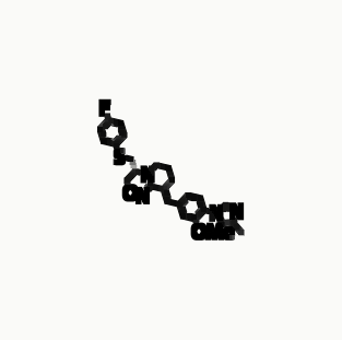 COc1cc(/C=C2\CCCN3C2=NOC[C@@H]3CSc2ccc(F)cc2)ccc1-n1cnc(C)c1